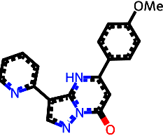 COc1ccc(-c2cc(=O)n3ncc(-c4ccccn4)c3[nH]2)cc1